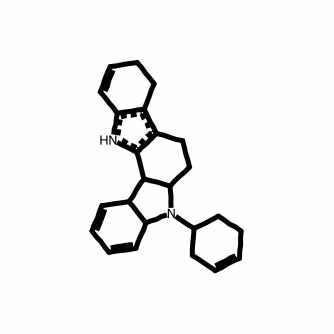 C1=CC2C3c4[nH]c5c(c4CCC3N(C3CC=CCC3)C2C=C1)CCC=C5